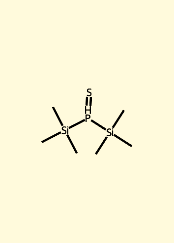 C[Si](C)(C)[PH](=S)[Si](C)(C)C